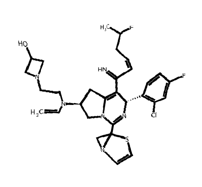 C=CN(CCN1CC(O)C1)[C@H]1CC2=C(C(=N)/C=C\CC(C)F)[C@H](c3ccc(F)cc3Cl)N=C(C34CN3C=CS4)N2C1